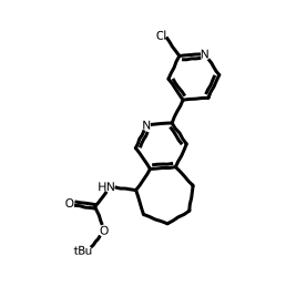 CC(C)(C)OC(=O)NC1CCCCc2cc(-c3ccnc(Cl)c3)ncc21